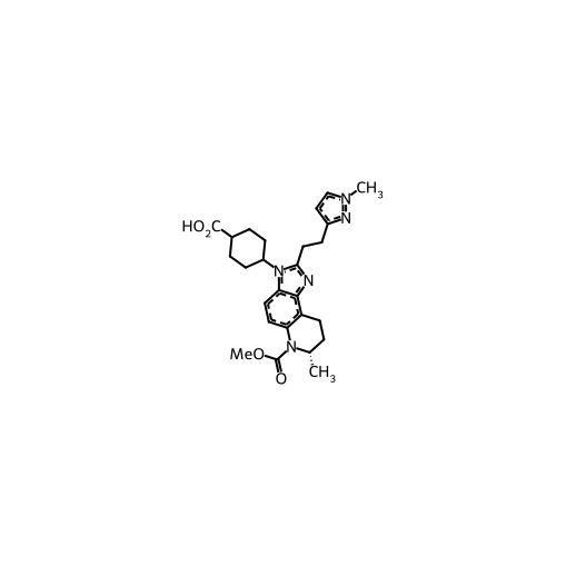 COC(=O)N1c2ccc3c(nc(CCc4ccn(C)n4)n3C3CCC(C(=O)O)CC3)c2CC[C@@H]1C